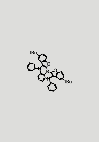 CC(C)(C)c1ccc2oc3c(c2c1)N(c1ccccc1)c1cccc2c1B3c1oc3ccc(C(C)(C)C)cc3c1N2c1ccccc1